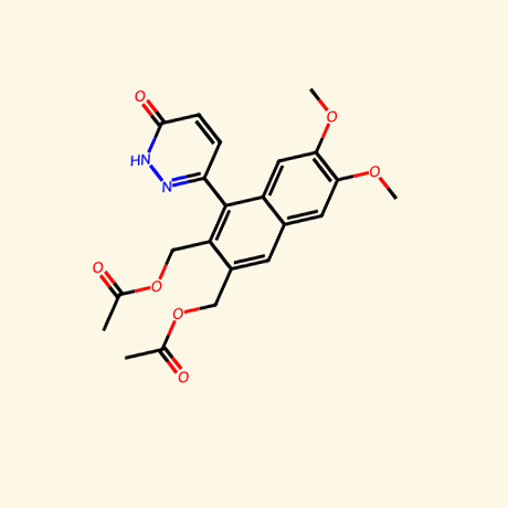 COc1cc2cc(COC(C)=O)c(COC(C)=O)c(-c3ccc(=O)[nH]n3)c2cc1OC